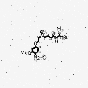 COc1cc(OCCN(C)CCCC(=O)NC(C)C(C)(C)C)ccc1NC=O